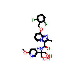 COc1ccc(C(CO)(CO)NC(=O)c2c(C)nc3c(OCc4c(F)cccc4F)cccn23)cn1